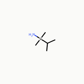 CC(C)[Si](C)(C)N